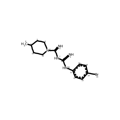 CC1CCN(C(=N)NC(=N)Nc2ccc(Br)cc2)CC1